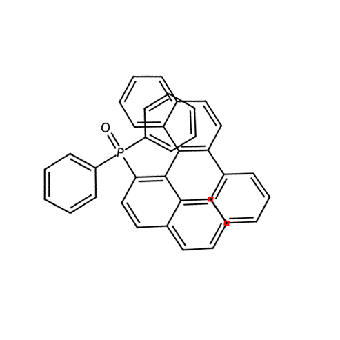 O=P(c1ccccc1)(c1ccccc1)c1ccc2ccccc2c1-c1c(-c2ccccc2)ccc2ccccc12